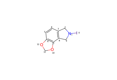 IN1Cc2ccc3c(c2C1)OCO3